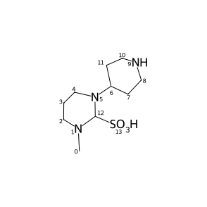 CN1CCCN(C2CCNCC2)C1S(=O)(=O)O